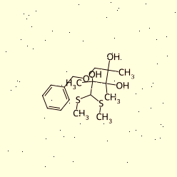 CSC(SC)C(C)(O)C(C)(O)C(C)(O)COCc1ccccc1